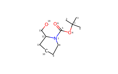 CC(C)(C)OC(=O)N1CCCCC1C[O]